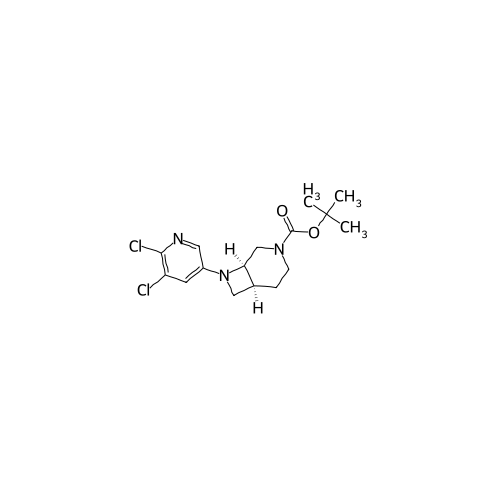 CC(C)(C)OC(=O)N1CC[C@H]2CN(c3cnc(Cl)c(Cl)c3)[C@H]2C1